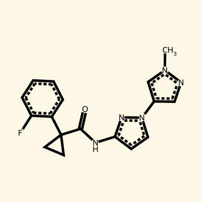 Cn1cc(-n2ccc(NC(=O)C3(c4ccccc4F)CC3)n2)cn1